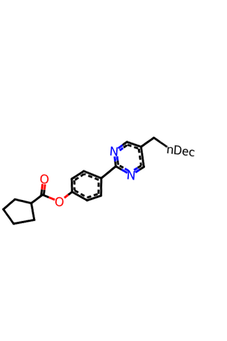 CCCCCCCCCCCc1cnc(-c2ccc(OC(=O)C3CCCC3)cc2)nc1